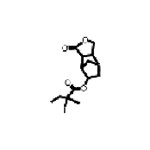 CCC(C)(I)C(=O)OC1CC2CC1C1C(=O)OCC21